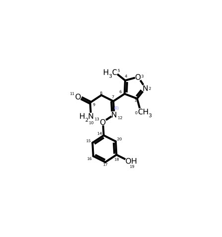 Cc1noc(C)c1/C(CC(N)=O)=N/Oc1cccc(O)c1